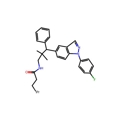 CC(C)CCC(=O)NCC(C)(C)C(c1ccccc1)c1ccc2c(cnn2-c2ccc(F)cc2)c1